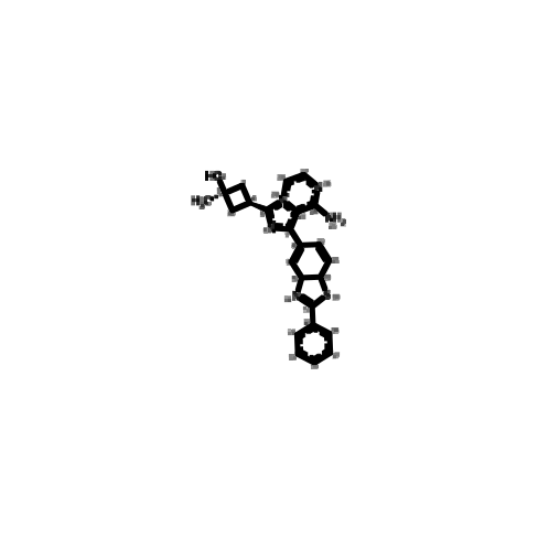 C[C@]1(O)C[C@@H](c2nc(C3=CC4N=C(c5ccccc5)SC4C=C3)c3c(N)nccn32)C1